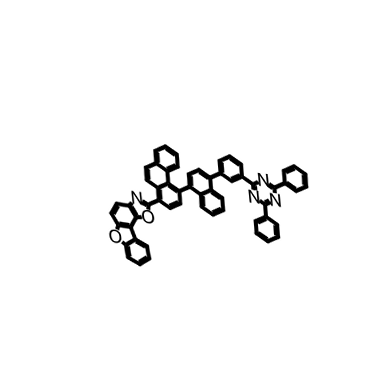 c1ccc(-c2nc(-c3ccccc3)nc(-c3cccc(-c4ccc(-c5ccc(-c6nc7ccc8oc9ccccc9c8c7o6)c6ccc7ccccc7c56)c5ccccc45)c3)n2)cc1